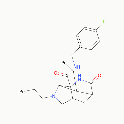 CC(C)CCN1CC2CC3C(=O)NC2(C(=O)NCc2ccc(F)cc2)C1C3CC(C)C